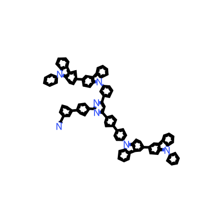 N#Cc1cccc(-c2ccc(-c3nc(-c4ccc(-c5ccc(-n6c7ccccc7c7cc(-c8ccc9c(c8)c8ccccc8n9-c8ccccc8)ccc76)cc5)cc4)cc(-c4cccc(-n5c6ccccc6c6cc(-c7ccc8c(c7)c7ccccc7n8-c7ccccc7)ccc65)c4)n3)cc2)c1